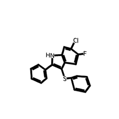 Fc1cc2c(Sc3ccccc3)c(-c3ccccc3)[nH]c2cc1Cl